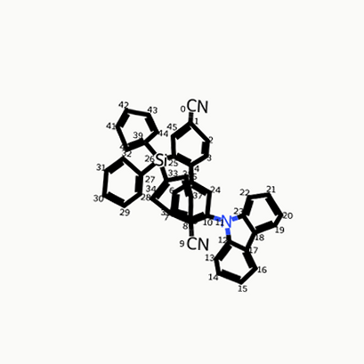 N#Cc1ccc(-c2ccc(C#N)c(-n3c4ccccc4c4ccccc43)c2)c([Si](c2ccccc2)(c2ccccc2)c2ccccc2)c1